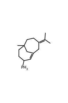 CC(C)=C1CCC2(C)CCC(P)C=C(C1)C2